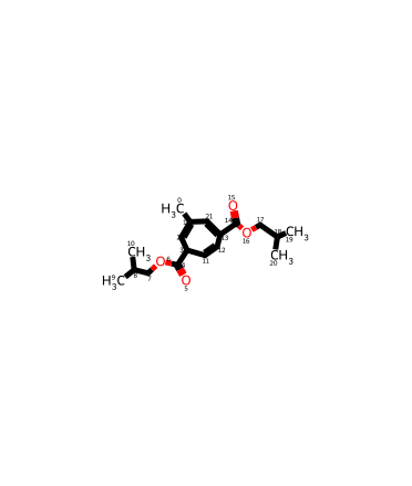 CC1=CC(C(=O)OCC(C)C)C=CC(C(=O)OCC(C)C)=C1